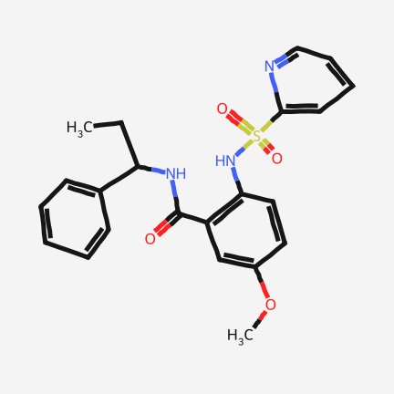 CCC(NC(=O)c1cc(OC)ccc1NS(=O)(=O)c1ccccn1)c1ccccc1